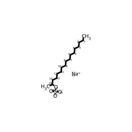 CCCCCCCCCCCCCCCC(C)OS(=O)(=O)[O-].[Na+]